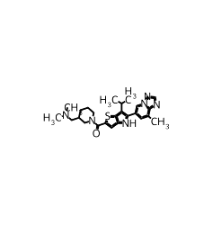 Cc1cc(-c2[nH]c3cc(C(=O)N4CCCC(CN(C)C)C4)sc3c2C(C)C)cn2ncnc12